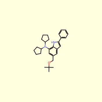 CC(C)(C)OCc1cc(N(C2CCCC2)C2CCCC2)c2[nH]c(-c3ccccc3)cc2c1